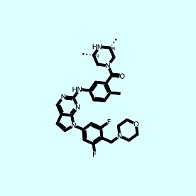 Cc1ccc(Nc2ncc3ccn(-c4cc(F)c(CN5CCOCC5)c(F)c4)c3n2)cc1C(=O)N1C[C@@H](C)N[C@@H](C)C1